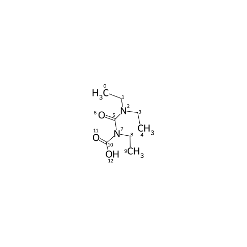 CCN(CC)C(=O)N(CC)C(=O)O